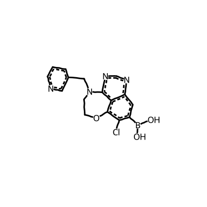 OB(O)c1cc2ncnc3c2c(c1Cl)OCCN3Cc1cccnc1